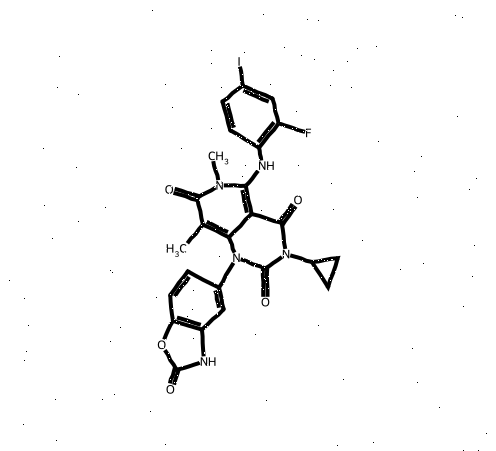 Cc1c(=O)n(C)c(Nc2ccc(I)cc2F)c2c(=O)n(C3CC3)c(=O)n(-c3ccc4oc(=O)[nH]c4c3)c12